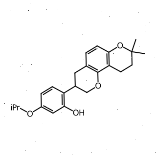 CC(C)Oc1ccc(C2COc3c(ccc4c3CCC(C)(C)O4)C2)c(O)c1